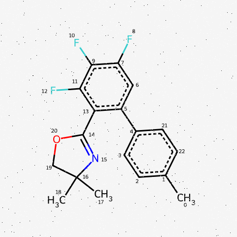 Cc1ccc(-c2cc(F)c(F)c(F)c2C2=NC(C)(C)CO2)cc1